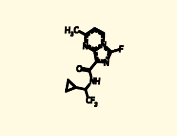 Cc1ccn2c(F)nc(C(=O)NC(C3CC3)C(F)(F)F)c2n1